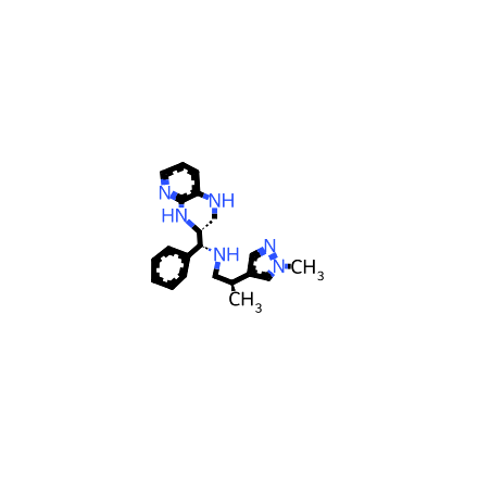 C[C@@H](CN[C@H](c1ccccc1)[C@H]1CNc2cccnc2N1)c1cnn(C)c1